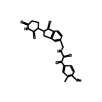 Cc1cc(C(=O)C(=O)NCc2ccc3c(c2)CN(C2CCC(=O)NC2=O)C3=O)ccc1C(C)(C)C